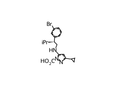 CC(C)[C@H](CNc1cc(C2CC2)nn1C(=O)O)c1cccc(Br)c1